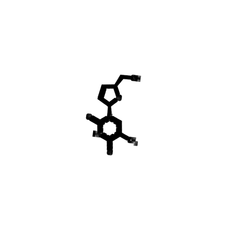 O=c1[nH]c(=O)n([C@H]2C=C[C@@H](CO)O2)cc1C(F)(F)F